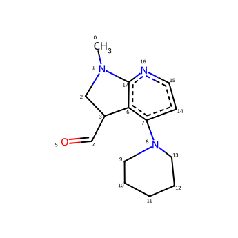 CN1CC(C=O)c2c(N3CCCCC3)ccnc21